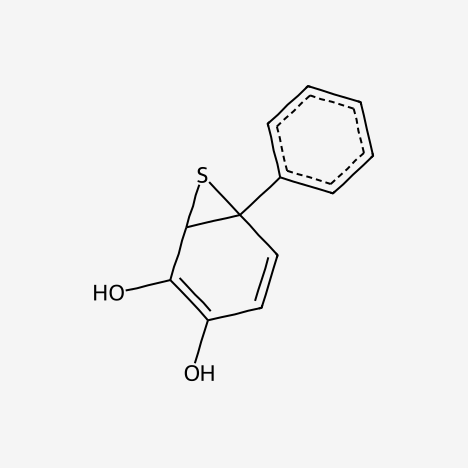 OC1=C(O)C2SC2(c2ccccc2)C=C1